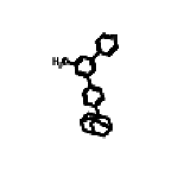 Cc1cc(-c2ccncc2)cc(-c2ccc(C34CC5CC(CC(C5)C3)C4)cc2)c1